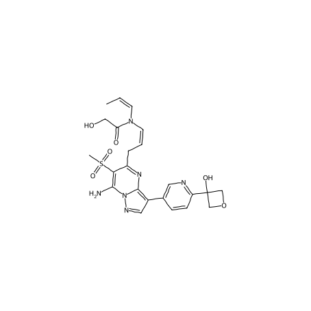 C/C=C\N(/C=C\Cc1nc2c(-c3ccc(C4(O)COC4)nc3)cnn2c(N)c1S(C)(=O)=O)C(=O)CO